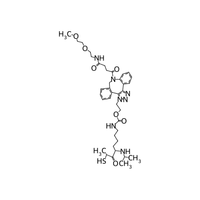 COCCOCCNC(=O)CCC(=O)N1Cc2ccccc2-c2c(nnn2CCOC(=O)NCCCCC(NC(C)C)C(=O)C(C)S)-c2ccccc21